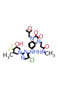 CNC(=O)CCn1c(=O)c(=O)n(CC2COC2)c2ccc(Nc3nc(N4C[C@@H](O)C(F)(F)[C@@H](C)C4)ncc3Cl)cc21